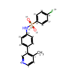 Cc1ccncc1-c1ccc(NS(=O)(=O)c2ccc(F)cc2)cc1